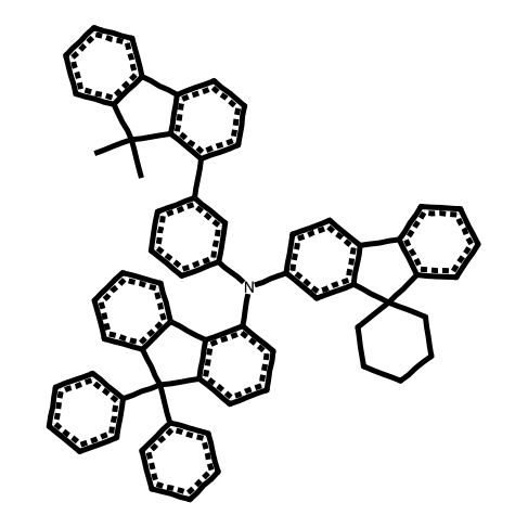 CC1(C)c2ccccc2-c2cccc(-c3cccc(N(c4ccc5c(c4)C4(CCCCC4)c4ccccc4-5)c4cccc5c4-c4ccccc4C5(c4ccccc4)c4ccccc4)c3)c21